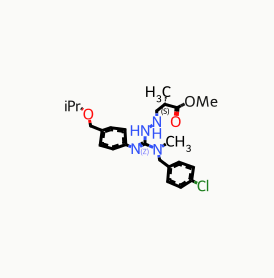 COC(=O)[C@@H](C)CNN/C(=N\c1ccc(COC(C)C)cc1)N(C)Cc1ccc(Cl)cc1